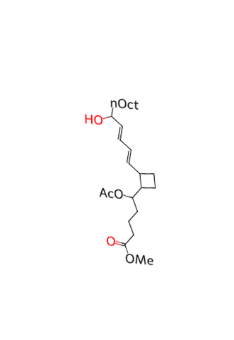 CCCCCCCCC(O)/C=C/C=C/C1CCC1C(CCCC(=O)OC)OC(C)=O